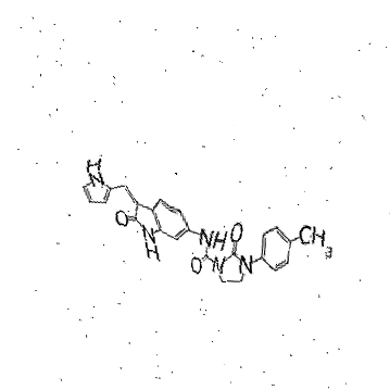 Cc1ccc(N2CCN(C(=O)Nc3ccc4c(c3)NC(=O)C4=Cc3ccc[nH]3)C2=O)cc1